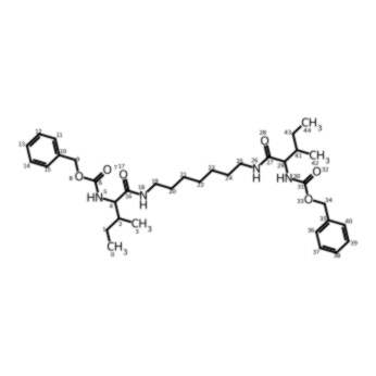 CCC(C)C(NC(=O)OCc1ccccc1)C(=O)NCCCCCCCNC(=O)C(NC(=O)OCc1ccccc1)C(C)CC